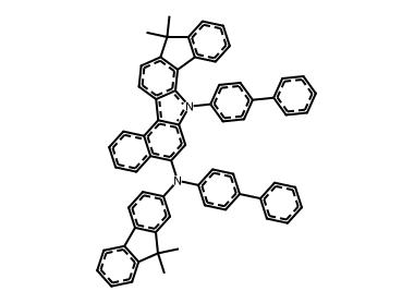 CC1(C)c2ccccc2-c2ccc(N(c3ccc(-c4ccccc4)cc3)c3cc4c(c5ccccc35)c3ccc5c(c3n4-c3ccc(-c4ccccc4)cc3)-c3ccccc3C5(C)C)cc21